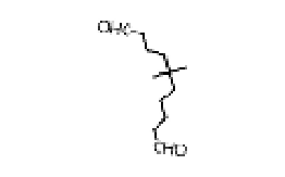 CC(C)(CCCC=O)CCCCC=O